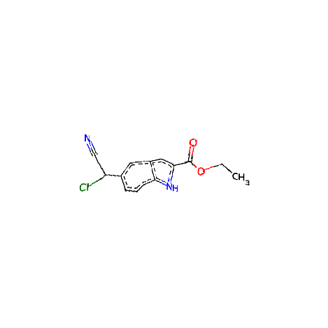 CCOC(=O)c1cc2cc(C(Cl)C#N)ccc2[nH]1